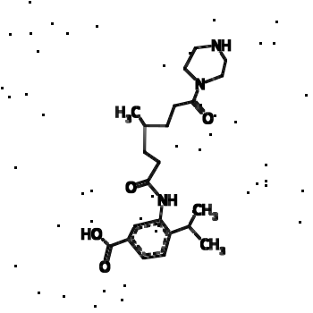 CC(CCC(=O)Nc1cc(C(=O)O)ccc1C(C)C)CCC(=O)N1CCNCC1